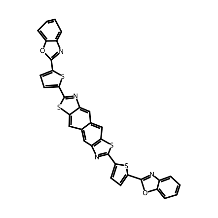 c1ccc2oc(-c3ccc(-c4nc5cc6cc7sc(-c8ccc(-c9nc%10ccccc%10o9)s8)nc7cc6cc5s4)s3)nc2c1